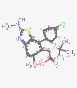 Cc1cc2nc(N(C)C)sc2c(-c2ccc(Cl)cc2)c1[C@H](OC(C)(C)C)C(=O)O